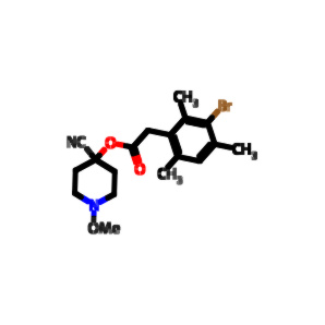 CON1CCC(C#N)(OC(=O)Cc2c(C)cc(C)c(Br)c2C)CC1